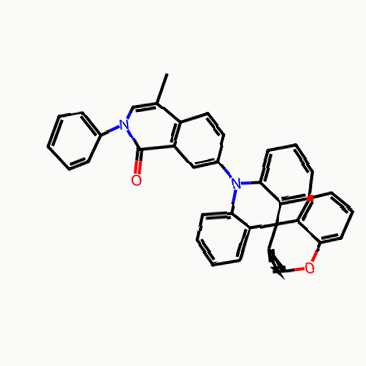 Cc1cn(-c2ccccc2)c(=O)c2cc(N3c4ccccc4C4(c5ccccc5Oc5ccccc54)c4ccccc43)ccc12